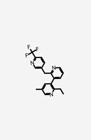 CCc1ncc(C)cc1-c1cccnc1Cc1ccc(C(F)(F)F)nc1